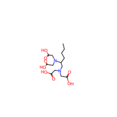 CCCCC(CN(CC(=O)O)CC(=O)O)N(CC(=O)O)CC(=O)O